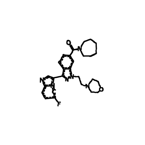 O=C(c1ccc2c(-c3cnc4ccc(F)cn34)nn(CCN3CCOCC3)c2c1)N1CCCCCC1